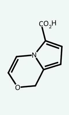 O=C(O)c1ccc2n1C=COC2